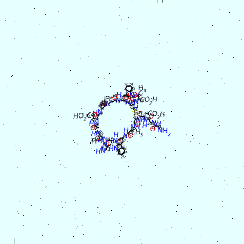 CC(C)C[C@@H]1NC(=O)[C@H](Cc2c[nH]cn2)NC(=O)[C@H](Cc2c[nH]c3ccccc23)NC(=O)[C@H](C)NC(=O)[C@@H](NC(=O)[C@H](CC(=O)O)NC(=O)CNC(=O)CN)CSSC[C@@H](C(=O)N[C@H](C(=O)O)[C@@H](C)O)NC(=O)[C@H](Cc2c[nH]c3ccccc23)NC(=O)[C@H](C(C)C)NC(=O)[C@H](CC(C)C)NC(=O)[C@H](CCC(=O)O)NC(=O)CNC1=O